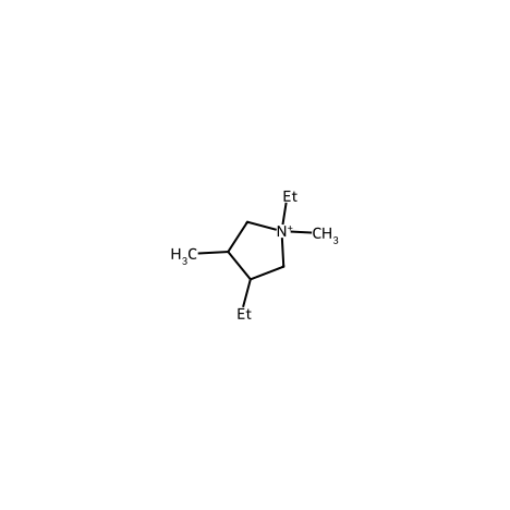 CCC1C[N+](C)(CC)CC1C